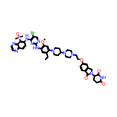 CCc1cc(Nc2ncc(Br)c(Nc3ccc4nccnc4c3P(C)(C)=O)n2)c(OC)cc1N1CCC(N2CCN(CCOc3ccc4c(c3)CN(C3CCC(=O)NC3=O)C4=O)CC2)CC1